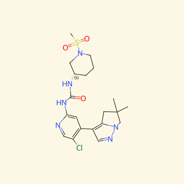 CC1(C)Cc2c(-c3cc(NC(=O)N[C@H]4CCCN(S(C)(=O)=O)C4)ncc3Cl)cnn2C1